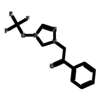 O=C(CN1CN(OC(F)(F)F)C=N1)c1ccccc1